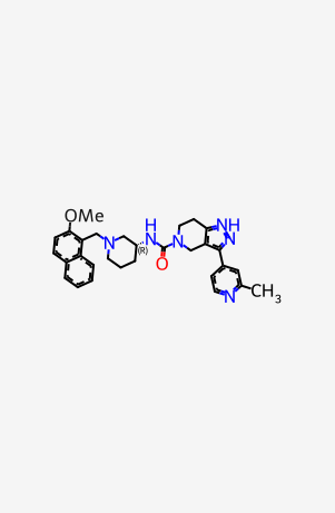 COc1ccc2ccccc2c1CN1CCC[C@@H](NC(=O)N2CCc3[nH]nc(-c4ccnc(C)c4)c3C2)C1